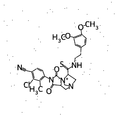 COc1ccc(CCNC(=S)C2CN3CC4C(=O)N(c5ccc(C#N)c(Cl)c5C)C(=O)[N+]42C3)cc1OC